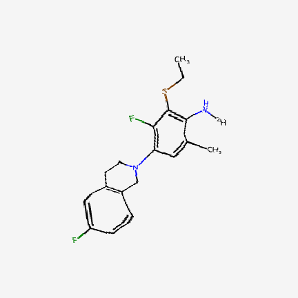 [2H]Nc1c(C)cc(N2CCc3cc(F)ccc3C2)c(F)c1SCC